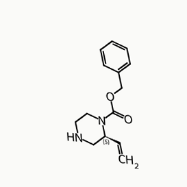 C=C[C@H]1CNCCN1C(=O)OCc1ccccc1